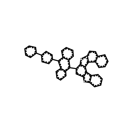 c1ccc(-c2ccc(-c3c4ccccc4c(-c4cc5sc6ccccc6c5c5c4sc4ccc6ccccc6c45)c4ccccc34)cc2)cc1